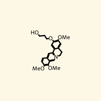 COc1cc2c(cc1OCCCO)-c1cc3ccc(OC)c(OC)c3c[n+]1CC2